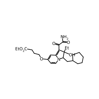 CCOC(=O)CCCOC1=CC2=C(C(=O)C(N)=O)C(O)(CC)C(CC3CCCCC3)N2C=C1